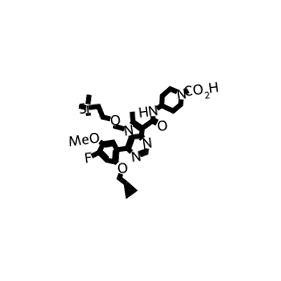 COc1cc(-c2ncnc3c(C(=O)NC4CCN(C(=O)O)CC4)c(C)n(COCC[Si](C)(C)C)c23)c(OCC2CC2)cc1F